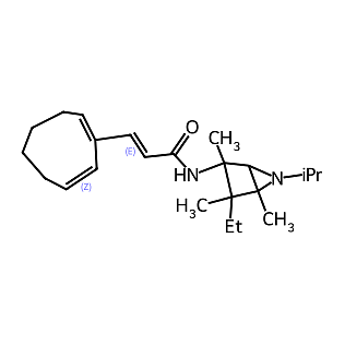 CCC1(C)C(C)(NC(=O)/C=C/C2=CCCCC/C=C\2)C2N(C(C)C)C21C